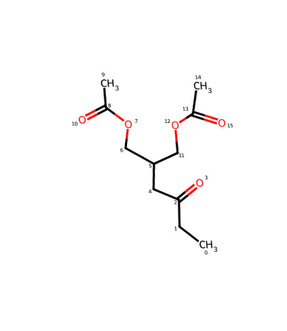 CCC(=O)CC(COC(C)=O)COC(C)=O